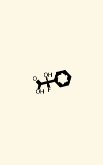 O=C(O)[C@@](O)(F)c1ccccc1